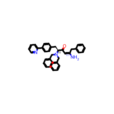 N/C(=C/C(=O)[C@H](Cc1ccc(-c2ccccn2)cc1)N(Cc1ccccc1)Cc1ccccc1)Cc1ccccc1